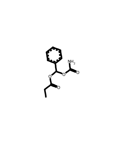 CCC(=O)OC(OC(N)=O)c1ccccc1